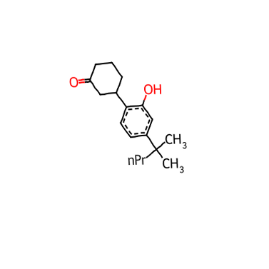 CCCC(C)(C)c1ccc(C2CCCC(=O)C2)c(O)c1